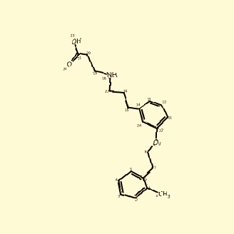 Cc1ccccc1CCOc1cccc(CCCNCCC(=O)O)c1